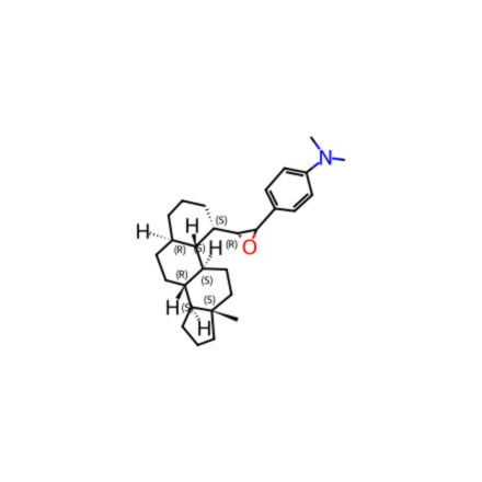 CN(C)c1ccc(C2O[C@@H]2[C@H]2CCC[C@@H]3CC[C@@H]4[C@H](CC[C@]5(C)CCC[C@@H]45)[C@H]32)cc1